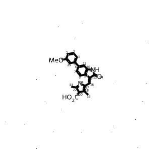 COc1cccc(-c2ccc3c(c2)NC(=O)C3=CC2=C(C)C(C(=O)O)C(C)=N2)c1